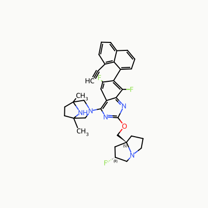 C#Cc1cccc2cccc(-c3c(F)cc4c(N5CC6(C)CCC(C)(C5)N6)nc(OC[C@@]56CCCN5C[C@H](F)C6)nc4c3F)c12